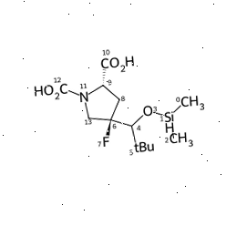 C[SiH](C)OC(C(C)(C)C)[C@@]1(F)C[C@@H](C(=O)O)N(C(=O)O)C1